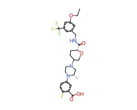 CCOc1cc(CNC(=O)[C@H]2CCC(N3CCN(c4ccc(F)c(C(=O)O)c4)[C@@H](C)C3)CO2)cc(C(F)(F)F)c1